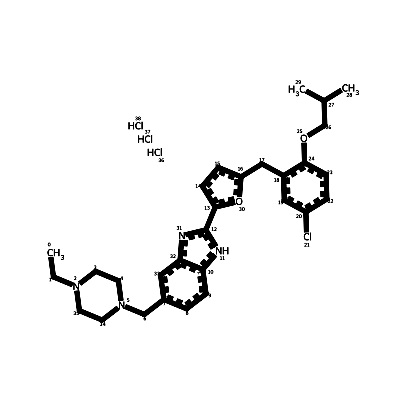 CCN1CCN(Cc2ccc3[nH]c(-c4ccc(Cc5cc(Cl)ccc5OCC(C)C)o4)nc3c2)CC1.Cl.Cl.Cl